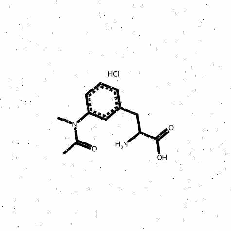 CC(=O)N(C)c1cccc(CC(N)C(=O)O)c1.Cl